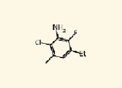 CCc1cc(C)c(Cl)c(N)c1F